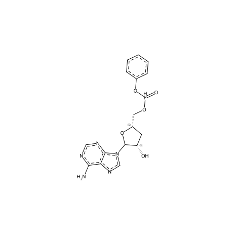 Nc1ncnc2c1ncn2C1O[C@H](CO[PH](=O)Oc2ccccc2)C[C@@H]1O